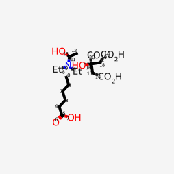 CCCCCC(=O)O.CCN(CC)C(C)O.O=C(O)CC(O)(CC(=O)O)C(=O)O